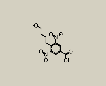 [O]CCCCc1c([N+](=O)[O-])cc(C(=O)O)cc1[N+](=O)[O-]